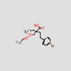 CCOOCC(CC)(CCc1ccc(Br)cc1)C(=O)O